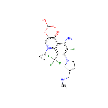 CNCC1CCN(c2c(F)c(N)c3c(=O)c(OC(=O)O)cn(C4CC4)c3c2C(F)(F)F)C1